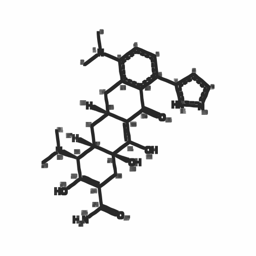 CN(C)c1ccc(-c2ccn[nH]2)c2c1C[C@H]1C[C@H]3[C@H](N(C)C)C(O)=C(C(N)=O)C[C@@]3(O)C(O)=C1C2=O